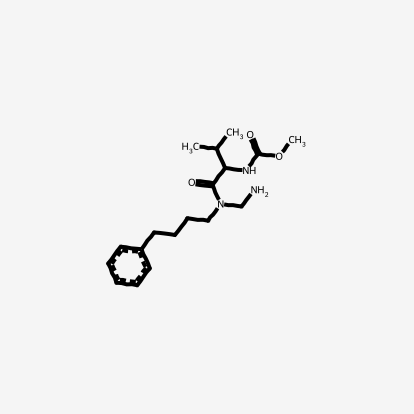 COC(=O)NC(C(=O)N(CN)CCCCc1ccccc1)C(C)C